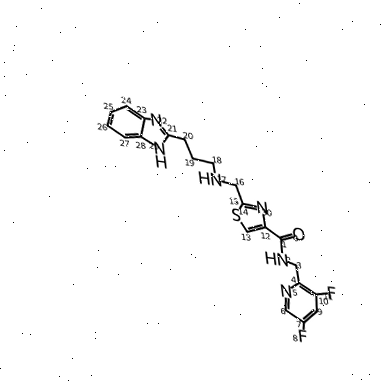 O=C(NCc1ncc(F)cc1F)c1csc(CNCCCc2nc3ccccc3[nH]2)n1